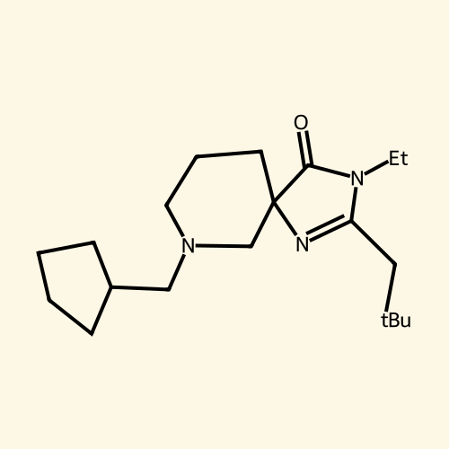 CCN1C(=O)C2(CCCN(CC3CCCC3)C2)N=C1CC(C)(C)C